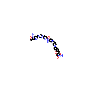 CCc1cc2ncc(CN3CCN(C4C=NC(C(=O)NC5CCN(CC6CCN(c7ccc8c(c7)CC(CC7CCC(=O)NC7=O)C8=O)CC6)CC5)=CC4)CC3)cc2[nH]c1=O